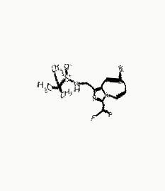 CC(C)(C)[S+]([O-])NCc1nc(C(F)F)n2ccc(Br)cc12